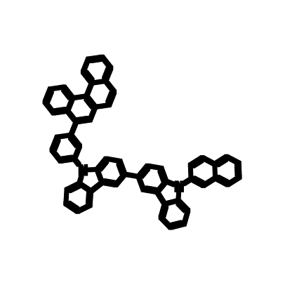 c1cc(-c2cc3ccc4ccccc4c3c3ccccc23)cc(-n2c3ccccc3c3cc(-c4ccc5c(c4)c4ccccc4n5-c4ccc5ccccc5c4)ccc32)c1